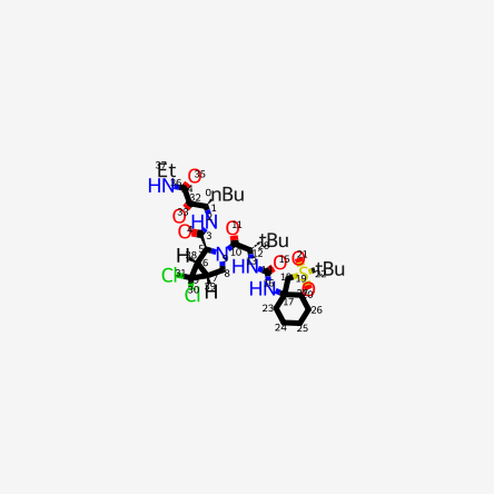 CCCC[C@H](NC(=O)[C@@H]1[C@@H]2[C@H](CN1C(=O)[C@@H](NC(=O)NC1(CS(=O)(=O)C(C)(C)C)CCCCC1)C(C)(C)C)C2(Cl)Cl)C(=O)C(=O)NCC